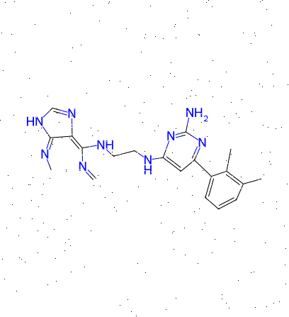 C=N/C(NCCNc1cc(-c2cccc(C)c2C)nc(N)n1)=C1/N=CN/C1=N/C